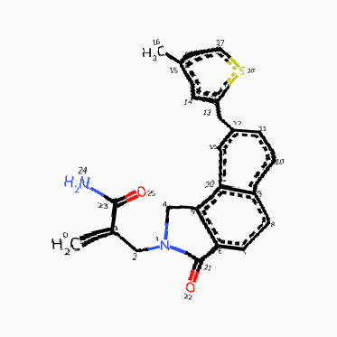 C=C(CN1Cc2c(ccc3ccc(-c4cc(C)cs4)cc23)C1=O)C(N)=O